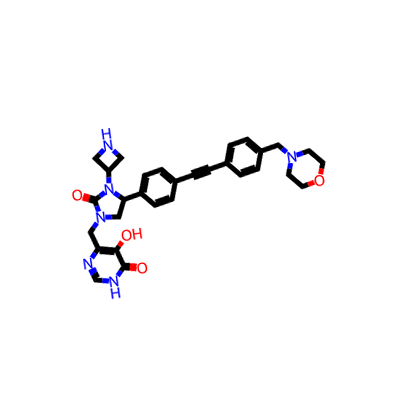 O=C1N(Cc2nc[nH]c(=O)c2O)CC(c2ccc(C#Cc3ccc(CN4CCOCC4)cc3)cc2)N1C1CNC1